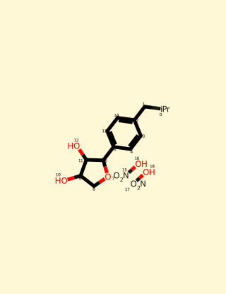 CC(C)Cc1ccc(C2OCC(O)C2O)cc1.O=[N+]([O-])O.O=[N+]([O-])O